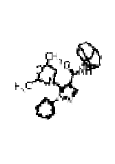 CC1CN(c2c(C(=O)NC34CC5CC(CC(C5)C3)C4)cnn2-c2ccccc2)CC(C)O1